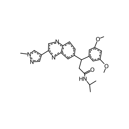 COc1cc(OC)cc(C(CC(=O)NC(C)C)c2ccc3ncc(-c4cnn(C)c4)nc3c2)c1